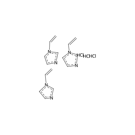 C=Cn1ccnc1.C=Cn1ccnc1.C=Cn1ccnc1.Cl.Cl.Cl